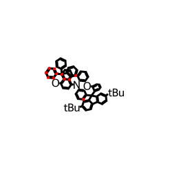 CC(C)(C)c1ccc2c(c1)C1(c3ccccc3Oc3c(N(c4ccc5c(c4)C(c4ccccc4)(c4ccccc4)c4ccccc4O5)c4ccccc4-c4ccc(-c5ccccc5)cc4)cccc31)c1cc(C(C)(C)C)ccc1-2